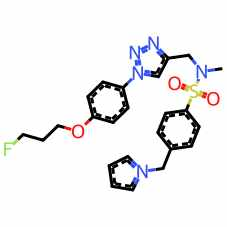 CN(Cc1cn(-c2ccc(OCCCF)cc2)nn1)S(=O)(=O)c1ccc(Cn2cccc2)cc1